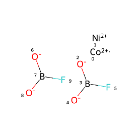 [Co+2].[Ni+2].[O-]B([O-])F.[O-]B([O-])F